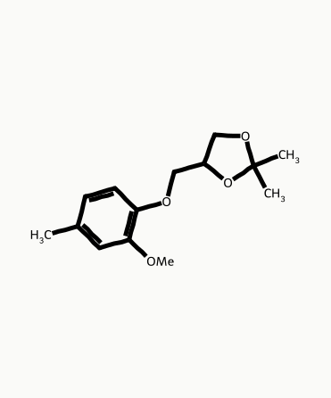 COc1cc(C)ccc1OCC1COC(C)(C)O1